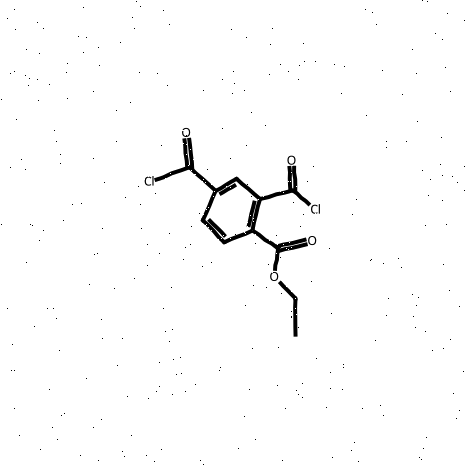 CCOC(=O)c1ccc(C(=O)Cl)cc1C(=O)Cl